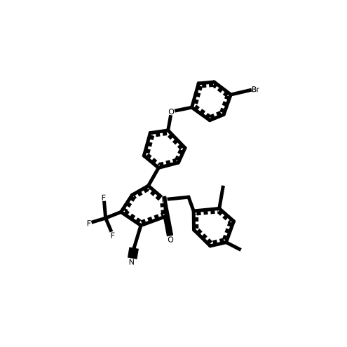 Cc1ccc(Cn2c(-c3ccc(Oc4ccc(Br)cc4)cc3)cc(C(F)(F)F)c(C#N)c2=O)c(C)c1